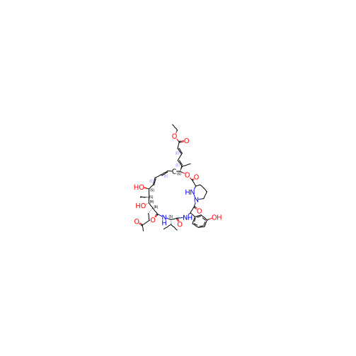 CCOC(=O)/C=C/C=C(\C)[C@@H]1C/C=C/C=C/[C@H](O)[C@H](C)[C@@H](O)[C@@H](CCC(C)=O)C(=O)N[C@@H](C(C)C)C(=O)NC(c2cccc(O)c2)C(=O)N2CCCC(N2)C(=O)O1